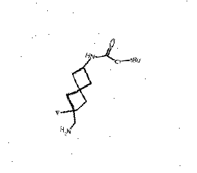 CC(C)(C)OC(=O)NC1CC2(C1)CC(F)(CN)C2